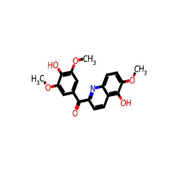 COc1cc(C(=O)c2ccc3c(O)c(OC)ccc3n2)cc(OC)c1O